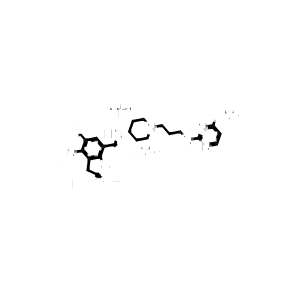 COc1ccnc(NCCCN2CC[C@@H](NC(=O)c3cc(Cl)c(N)c4c3OC(C)(C)C4)[C@@H](OC)C2)n1.Cl.Cl